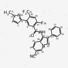 Cn1ccc(-c2cc(C(=O)Nc3c(-c4ccccc4)nn4cc(C#N)ccc34)c(F)cc2C(F)(F)F)n1